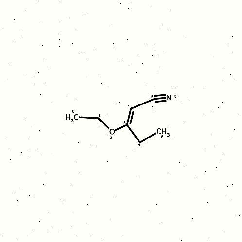 CCOC(=CC#N)CC